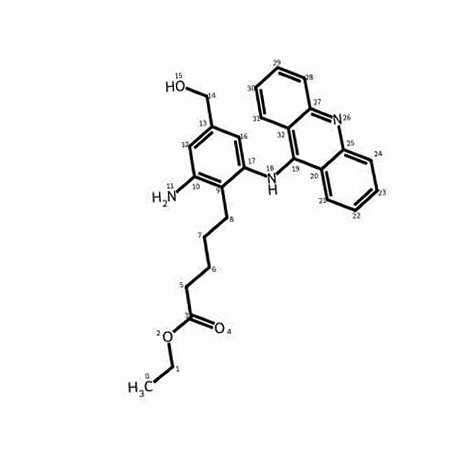 CCOC(=O)CCCCc1c(N)cc(CO)cc1Nc1c2ccccc2nc2ccccc12